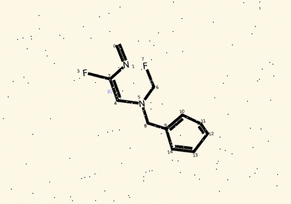 C=N/C(F)=C\N(CF)Cc1ccccc1